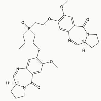 CCCP(=O)(CCOc1cc2c(cc1OC)C(=O)N1CCC[C@H]1C=N2)CCOc1cc2c(cc1OC)C(=O)N1CCC[C@H]1C=N2